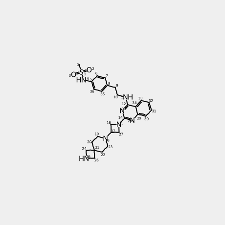 CS(=O)(=O)Nc1ccc(CCNc2nc(N3CC(N4CCC5(CC4)CNC5)C3)nc3ccccc23)cc1